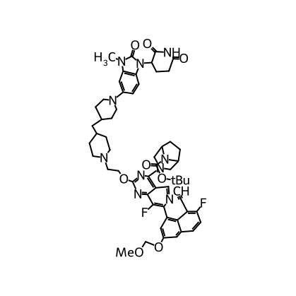 C#Cc1c(F)ccc2cc(OCOC)cc(-c3ncc4c(N5CC6CCC(C5)N6C(=O)OC(C)(C)C)nc(OCCN5CCC(CC6CCN(c7ccc8c(c7)n(C)c(=O)n8C7CCC(=O)NC7=O)CC6)CC5)nc4c3F)c12